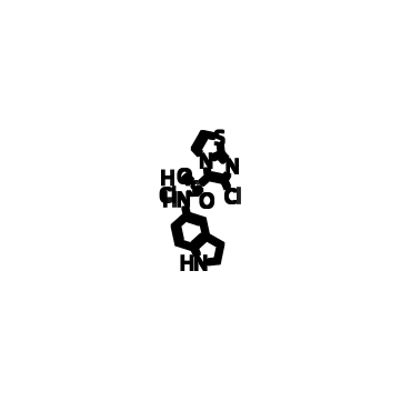 Cl.O=S(=O)(Nc1ccc2c(c1)CCN2)c1c(Cl)nc2sccn12